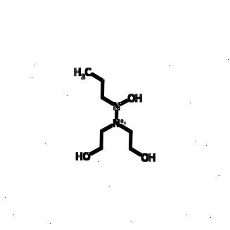 CCCN(O)[N+](CCO)CCO